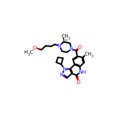 COCCCCN1CCN(C(=O)c2cc3c(cc2C)[nH]c(=O)c2cnn(C4CCC4)c23)C[C@@H]1C